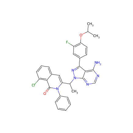 CC(C)Oc1ccc(-c2nn(C(C)c3cc4cccc(Cl)c4c(=O)n3-c3ccccc3)c3ncnc(N)c23)cc1F